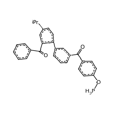 CC(C)c1ccc(-c2cccc(C(=O)c3ccc(OP)cc3)c2)c(C(=O)c2ccccc2)c1